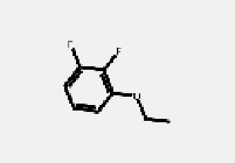 CCOc1[c]ccc(F)c1F